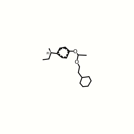 CC[C@@H](C)c1ccc(OC(C)OCCC2CCCCC2)cc1